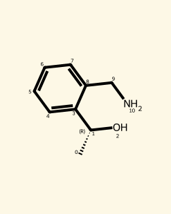 C[C@@H](O)c1ccccc1CN